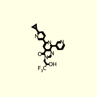 O=c1c2cc(-c3ccc(C4CC4)nc3)nc(-c3cccnc3)c2ncn1C[C@H](O)C(F)(F)F